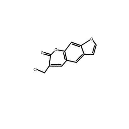 O=c1oc2cc3occc3cc2cc1CCl